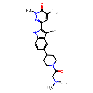 Cc1cc(-c2[nH]c3ccc(C4CCN(C(=O)CN(C)C)CC4)cc3c2C(C)C)nn(C)c1=O